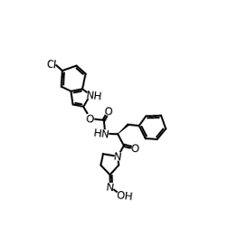 O=C(N[C@@H](Cc1ccccc1)C(=O)N1CCC(=NO)C1)Oc1cc2cc(Cl)ccc2[nH]1